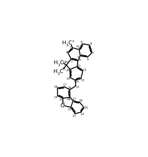 Cc1cc2c(c3ccccc13)-c1ccc(Cc3cccc4oc5ccccc5c34)cc1C2(C)C